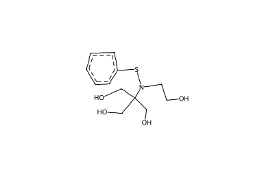 OCCN(Sc1ccccc1)C(CO)(CO)CO